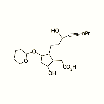 CCCC#CC(O)CCC1C(OC2CCCCO2)CC(O)C1CC(=O)O